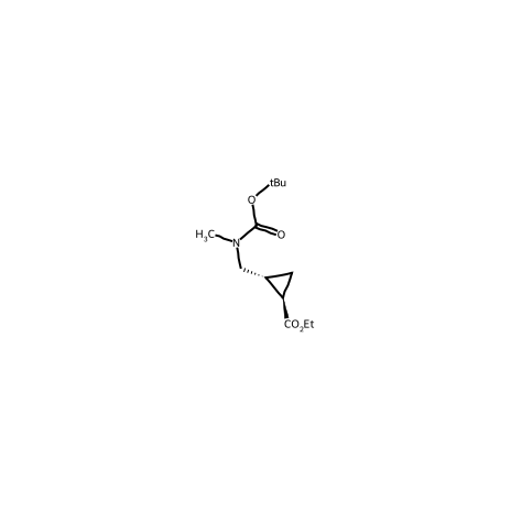 CCOC(=O)[C@@H]1C[C@H]1CN(C)C(=O)OC(C)(C)C